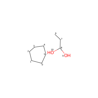 C1CCCCC1.CCC(O)O